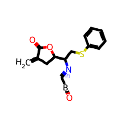 C=C1CC(C(CSc2ccccc2)/N=C/B=O)OC1=O